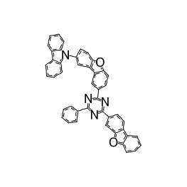 c1ccc(-c2nc(-c3ccc4c(c3)oc3ccccc34)nc(-c3ccc4oc5ccc(-n6c7ccccc7c7ccccc76)cc5c4c3)n2)cc1